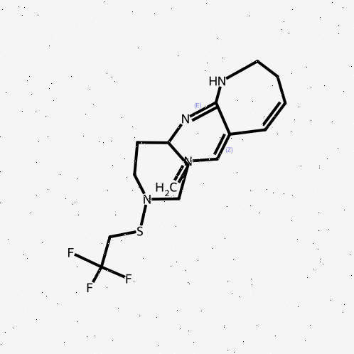 C=N/C=C1/C=CCCN/C1=N/C1CCN(SCC(F)(F)F)CC1